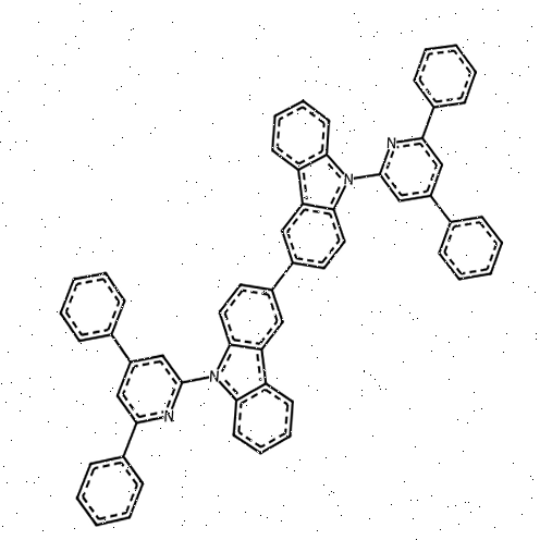 c1ccc(-c2cc(-c3ccccc3)nc(-n3c4ccccc4c4cc(-c5ccc6c(c5)c5ccccc5n6-c5cc(-c6ccccc6)cc(-c6ccccc6)n5)ccc43)c2)cc1